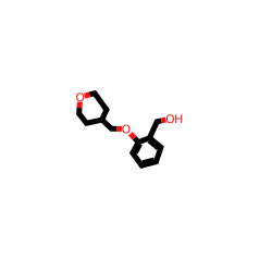 OCc1ccccc1OCC1CCOCC1